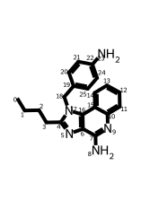 CCCCc1nc2c(N)nc3ccccc3c2n1Cc1ccc(N)cc1